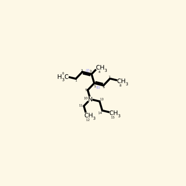 CC/C=C(C)\C(=C/CC)CN(CC)CCC